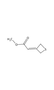 COC(=O)C=C1CSC1